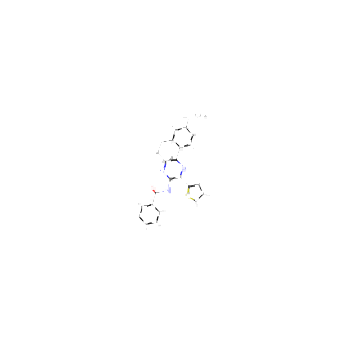 COc1ccc2c(c1)CCc1nc(NC(=O)c3ccccc3)c(-c3cccs3)nc1-2